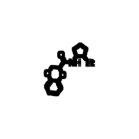 [CH2]CC1CCCC1NC(=O)C1COc2ccccc2O1